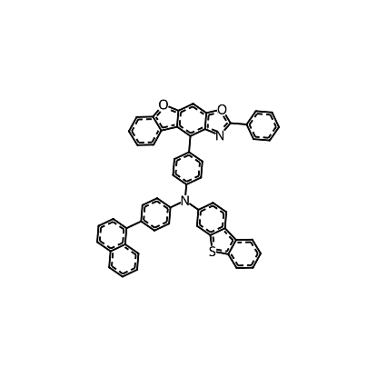 c1ccc(-c2nc3c(-c4ccc(N(c5ccc(-c6cccc7ccccc67)cc5)c5ccc6c(c5)sc5ccccc56)cc4)c4c(cc3o2)oc2ccccc24)cc1